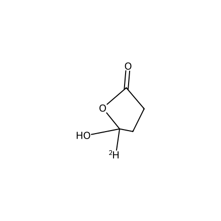 [2H]C1(O)CCC(=O)O1